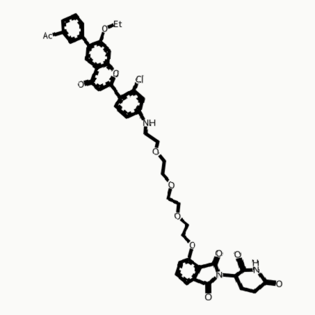 CCOc1cc2oc(-c3ccc(NCCOCCOCCOCCOc4cccc5c4C(=O)N(C4CCC(=O)NC4=O)C5=O)cc3Cl)cc(=O)c2cc1-c1cccc(C(C)=O)c1